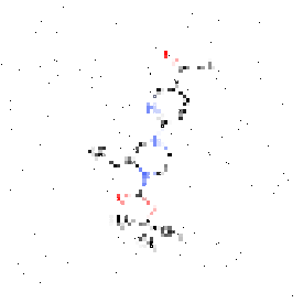 CC[C@H]1CN(c2ccc(C(C)=O)cn2)CCN1C(=O)OC(C)(C)C